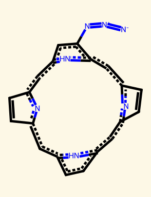 [N-]=[N+]=Nc1cc2cc3nc(cc4ccc(cc5nc(cc1[nH]2)C=C5)[nH]4)C=C3